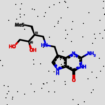 CSC[C@@H](CNCc1c[nH]c2c(=O)[nH]c(N)nc12)[C@@H](O)CO